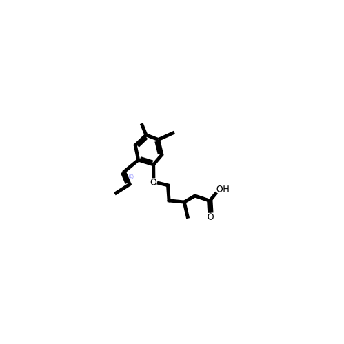 C/C=C/c1cc(C)c(C)cc1OCCC(C)CC(=O)O